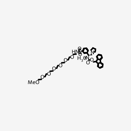 COCCOCCOCCOCCOCCOCCOCCNS(=O)(=O)c1cccc([C@@H](CN2CCCC2)N(C)C(=O)OCC2c3ccccc3-c3ccccc32)c1